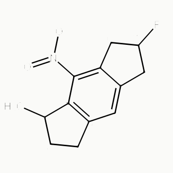 CC1CCc2cc3c(c([N+](=O)[O-])c21)CC(F)C3